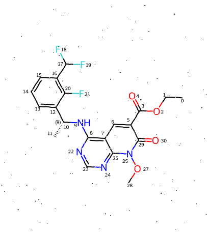 CCOC(=O)c1cc2c(N[C@H](C)c3cccc(C(F)F)c3F)ncnc2n(OC)c1=O